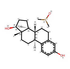 C[C@]12CC[C@@H]3c4ccc(O)cc4CC[C@H]3[C@@H]1CC[C@@H]2O.C[S+](C)[O-]